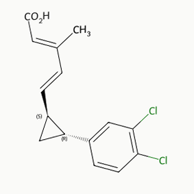 CC(C=C[C@@H]1C[C@H]1c1ccc(Cl)c(Cl)c1)=CC(=O)O